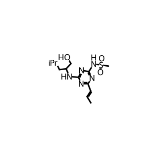 C/C=C/c1nc(NC(CO)CC(C)C)nc(NS(C)(=O)=O)n1